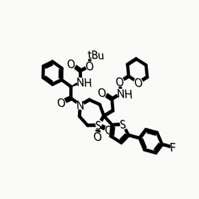 CC(C)(C)OC(=O)N[C@@H](C(=O)N1CCC(CC(=O)NOC2CCCCO2)(c2ccc(-c3ccc(F)cc3)s2)S(=O)(=O)CC1)c1ccccc1